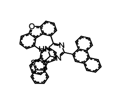 c1ccc(C2N=C(c3cc4ccccc4c4ccccc34)N=C(c3cccc4oc5cccc(-c6cccc7c6sc6ccccc67)c5c34)N2)cc1